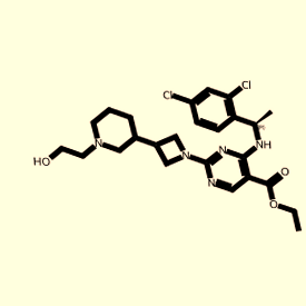 CCOC(=O)c1cnc(N2CC(C3CCCN(CCO)C3)C2)nc1N[C@H](C)c1ccc(Cl)cc1Cl